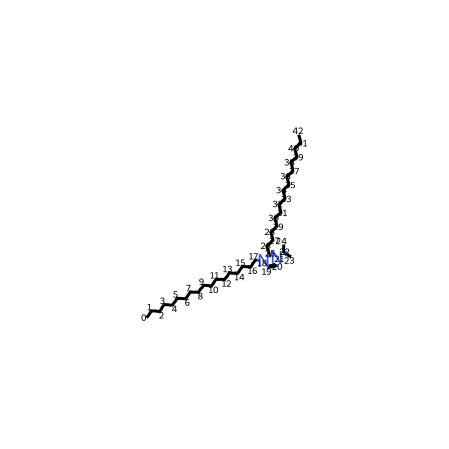 CCCCCCCCCCCCCCCCCCn1cc[n+](C(C)C)c1CCCCCCCCCCCCCCCCC